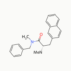 CN[C@@H](Cc1ccc2ccccc2c1)C(=O)N(C)Cc1ccccc1